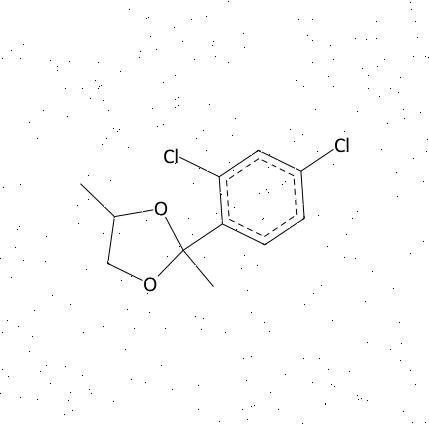 CC1COC(C)(c2ccc(Cl)cc2Cl)O1